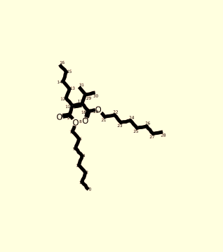 CCCCCCCCOC(=O)C(CCCCC)=C(C(=O)OCCCCCCCC)C(C)C